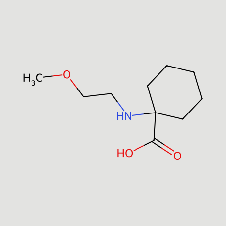 COCCNC1(C(=O)O)CCCCC1